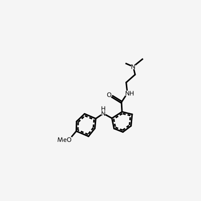 COc1ccc(Nc2ccccc2C(=O)NCCN(C)C)cc1